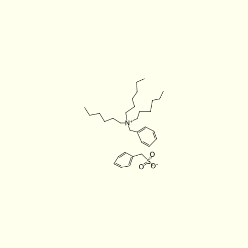 CCCCCC[N+](CCCCCC)(CCCCCC)Cc1ccccc1.O=S(=O)([O-])Cc1ccccc1